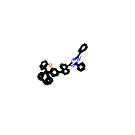 c1ccc(-c2nc(-c3ccccc3)nc(-c3cccc4c(-c5ccc6c(c5)Oc5ccccc5C65c6ccccc6-c6ccccc65)cccc34)n2)cc1